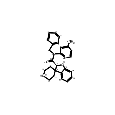 Nc1ccnc(N(Cc2ccccc2)C(=O)[C@H]2Oc3ccccc3C23CCNCC3)c1